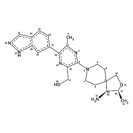 Cc1nc(N2CCC3(CC2)CO[C@@H](C)[C@H]3N)c(CO)nc1-c1ccc2cn[nH]c2c1